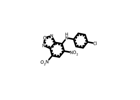 O=[N+]([O-])c1cc([N+](=O)[O-])c2nonc2c1Nc1ccc(Cl)cc1